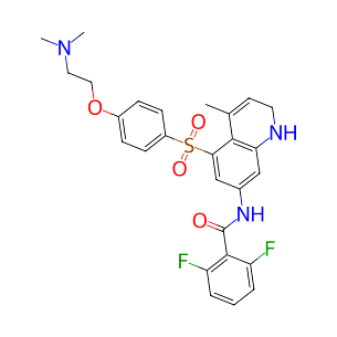 CC1=CCNc2cc(NC(=O)c3c(F)cccc3F)cc(S(=O)(=O)c3ccc(OCCN(C)C)cc3)c21